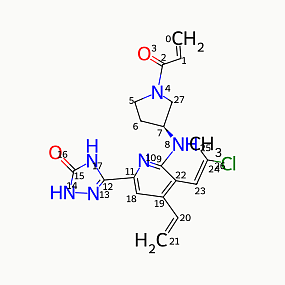 C=CC(=O)N1CC[C@H](Nc2nc(-c3n[nH]c(=O)[nH]3)cc(C=C)c2/C=C(\C)Cl)C1